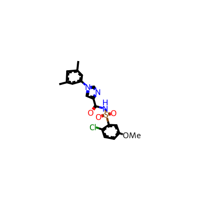 COc1ccc(Cl)c(S(=O)(=O)NC(=O)c2cn(-c3cc(C)cc(C)c3)cn2)c1